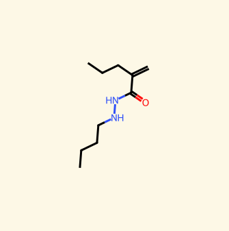 C=C(CCC)C(=O)NNCCCC